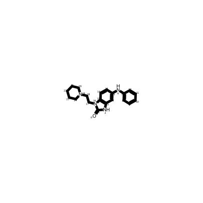 O=c1[nH]c2cc(Nc3ccccc3)ccc2n1CCN1CCCCC1